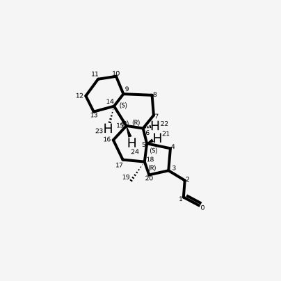 C=CCC1C[C@H]2[C@@H]3CCC4CCCC[C@@H]4[C@H]3CC[C@]2(C)C1